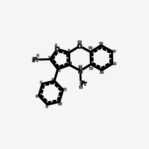 CC(C)c1oc2c(c1-c1ccccc1)N(C(C)C)c1ccccc1O2